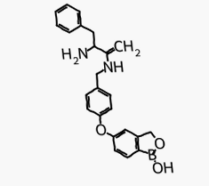 C=C(NCc1ccc(Oc2ccc3c(c2)COB3O)cc1)C(N)Cc1ccccc1